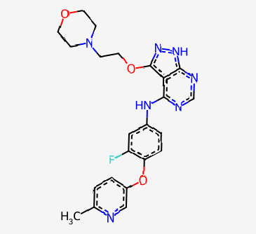 Cc1ccc(Oc2ccc(Nc3ncnc4[nH]nc(OCCN5CCOCC5)c34)cc2F)cn1